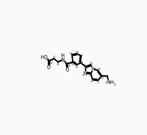 NCc1ccc2nc(-c3cccc(C(=O)NCCC(=O)O)c3)cn2c1